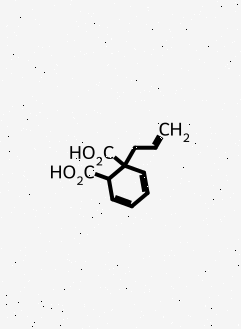 C=CCC1(C(=O)O)C=CC=CC1C(=O)O